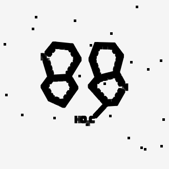 O=C(O)c1cnc2ccccc2c1.c1ccc2ncccc2c1